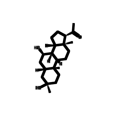 CC(=O)[C@H]1CC[C@H]2[C@@H]3[C@H](O)C[C@H]4C[C@](C)(O)CC[C@]4(C)[C@H]3CC[C@]12C